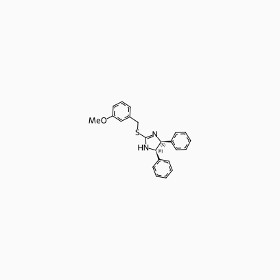 COc1cccc(CSC2=N[C@@H](c3ccccc3)[C@@H](c3ccccc3)N2)c1